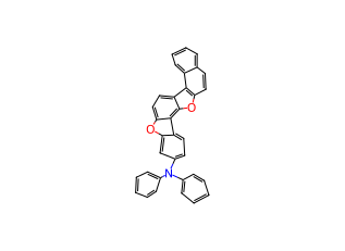 c1ccc(N(c2ccccc2)c2ccc3c(c2)oc2ccc4c(oc5ccc6ccccc6c54)c23)cc1